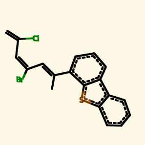 C=C(Cl)/C=C(Br)\C=C(/C)c1cccc2c1sc1ccccc12